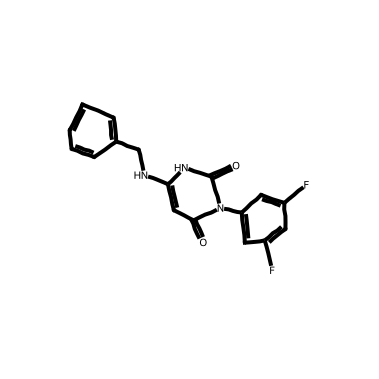 O=c1cc(NCc2ccccc2)[nH]c(=O)n1-c1cc(F)cc(F)c1